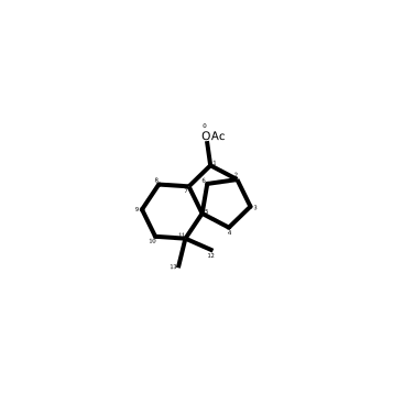 CC(=O)OC1C2CCC3(C2)C1CCCC3(C)C